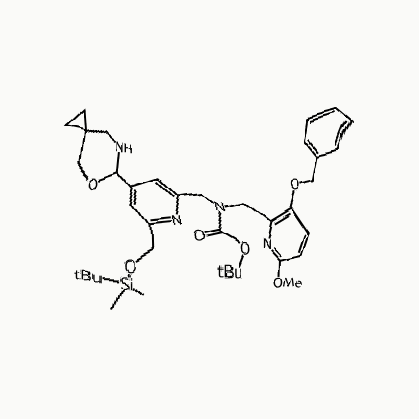 COc1ccc(OCc2ccccc2)c(CN(Cc2cc(C3NCC4(CC4)CO3)cc(CO[Si](C)(C)C(C)(C)C)n2)C(=O)OC(C)(C)C)n1